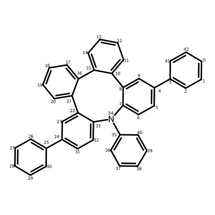 c1ccc(-c2ccc3c(c2)c2ccccc2c2ccccc2c2cc(-c4ccccc4)ccc2n3-c2ccccc2)cc1